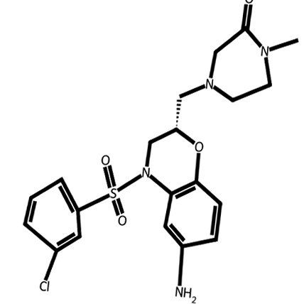 CN1CCN(C[C@H]2CN(S(=O)(=O)c3cccc(Cl)c3)c3cc(N)ccc3O2)CC1=O